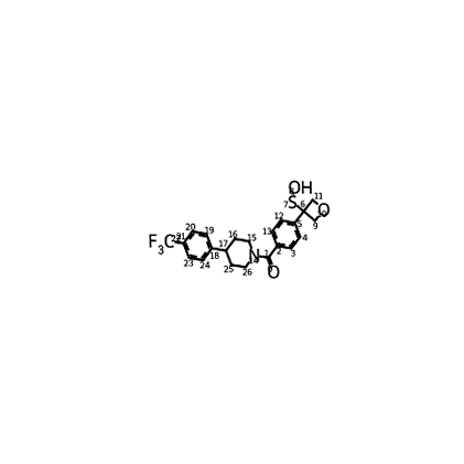 O=C(c1ccc(C2(SO)COC2)cc1)N1CCC(c2ccc(C(F)(F)F)cc2)CC1